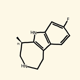 C[C@@H]1CNCCc2c1[nH]c1cc(F)ccc21